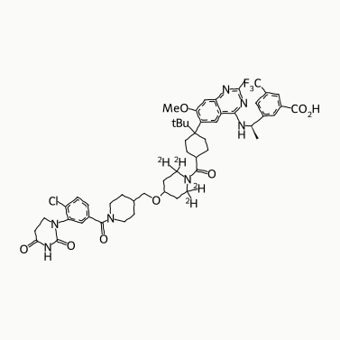 [2H]C1([2H])CC(OCC2CCN(C(=O)c3ccc(Cl)c(N4CCC(=O)NC4=O)c3)CC2)CC([2H])([2H])N1C(=O)C1CCC(c2cc3c(N[C@H](C)c4cc(C(=O)O)cc(C(F)(F)F)c4)nc(C)nc3cc2OC)(C(C)(C)C)CC1